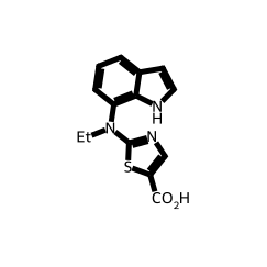 CCN(c1ncc(C(=O)O)s1)c1cccc2cc[nH]c12